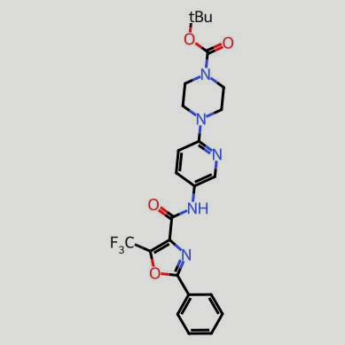 CC(C)(C)OC(=O)N1CCN(c2ccc(NC(=O)c3nc(-c4ccccc4)oc3C(F)(F)F)cn2)CC1